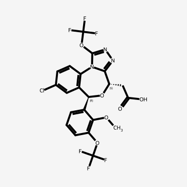 COc1c(OC(F)(F)F)cccc1[C@@H]1O[C@@H](CC(=O)O)c2nnc(OC(F)(F)F)n2-c2ccc(Cl)cc21